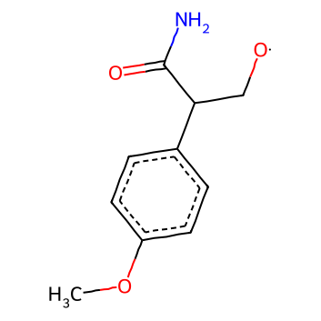 COc1ccc(C(C[O])C(N)=O)cc1